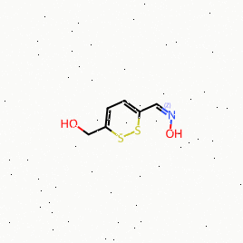 OCC1=CC=C(/C=N\O)SS1